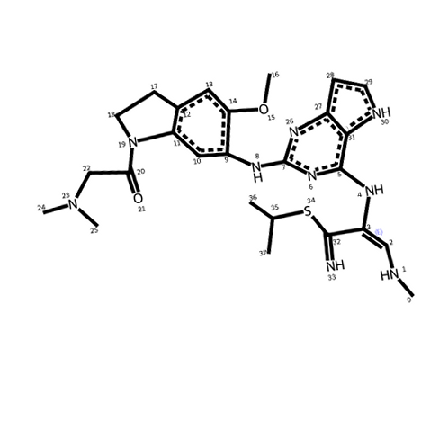 CN/C=C(/Nc1nc(Nc2cc3c(cc2OC)CCN3C(=O)CN(C)C)nc2cc[nH]c12)C(=N)SC(C)C